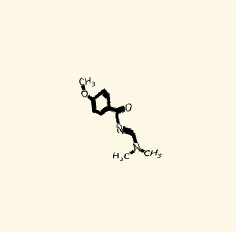 COc1ccc(C(=O)N=CN(C)C)cc1